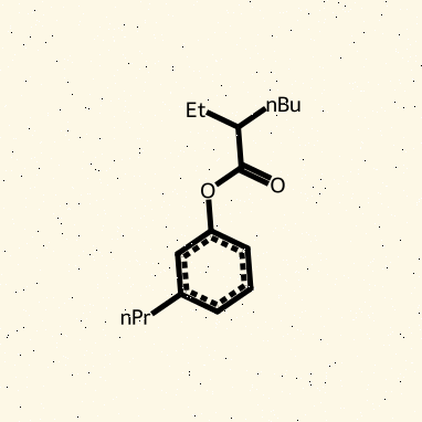 CCCCC(CC)C(=O)Oc1cccc(CCC)c1